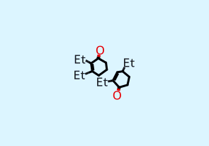 CCC1=C(CC)C(=O)CCC1.CCC1=CC(CC)CCC1=O